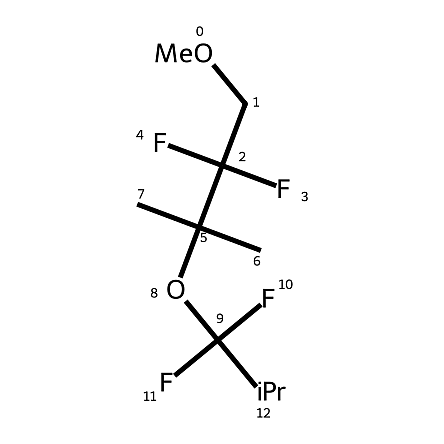 COCC(F)(F)C(C)(C)OC(F)(F)C(C)C